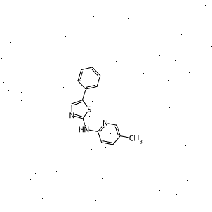 Cc1ccc(Nc2ncc(-c3ccccc3)s2)nc1